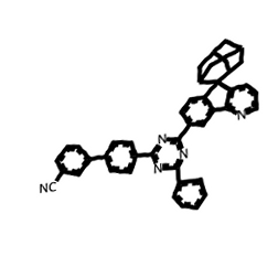 N#Cc1cccc(-c2ccc(-c3nc(-c4ccccc4)nc(-c4ccc5c(c4)-c4ncccc4C54C5CC6CC(C5)CC4C6)n3)cc2)c1